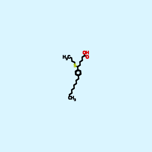 CCCCCCCCCc1ccc(C(CCCCC(=O)O)SCCCC)cc1